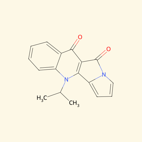 CC(C)n1c2c(c(=O)c3ccccc31)C(=O)n1cccc1-2